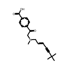 CN(CC=CC#CC(C)(C)C)CC(=O)c1ccc(C(=O)O)cc1